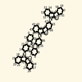 c1ccc([Si](c2ccccc2)(c2cccc(-n3c4ccccc4c4c5ccccc5oc43)c2)c2cccc(-n3c4ccccc4c4c5cc(-n6c7ccccc7c7c8ccccc8oc76)ccc5oc43)c2)cc1